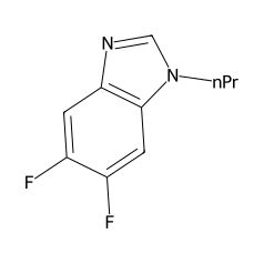 CCCn1cnc2cc(F)c(F)cc21